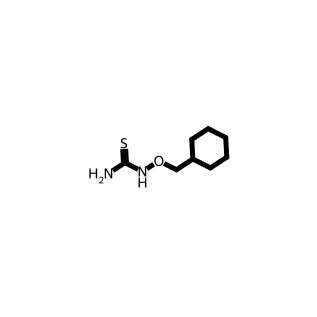 NC(=S)NOCC1CCCCC1